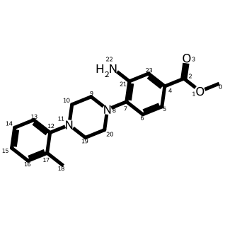 COC(=O)c1ccc(N2CCN(c3ccccc3C)CC2)c(N)c1